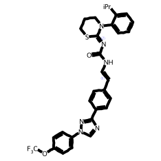 CC(C)c1ccccc1N1CCCS/C1=N\C(=O)N/C=C/c1ccc(-c2ncn(-c3ccc(OC(F)(F)F)cc3)n2)cc1